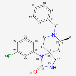 C[C@H]1C[C@]2(CCN1Cc1ccccc1)CNC(=O)N2c1cccc(F)c1